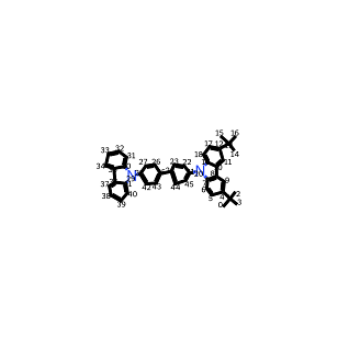 CC(C)(C)c1ccc2c(c1)c1cc(C(C)(C)C)ccc1n2-c1ccc(-c2ccc(-n3c4ccccc4c4ccccc43)cc2)cc1